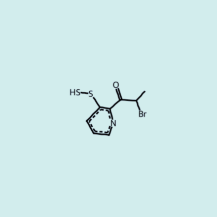 CC(Br)C(=O)c1ncccc1SS